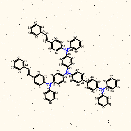 C(=Cc1ccc(N(c2ccccc2)c2ccc(N(c3ccc(-c4ccc(N(c5ccccc5)c5ccccc5)cc4)cc3)c3ccc(N(c4ccccc4)c4ccc(C=Cc5ccccc5)cc4)cc3)cc2)cc1)c1ccccc1